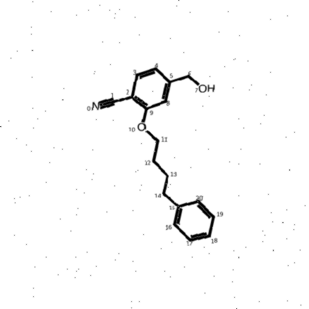 N#Cc1ccc(CO)cc1OCCCCc1ccccc1